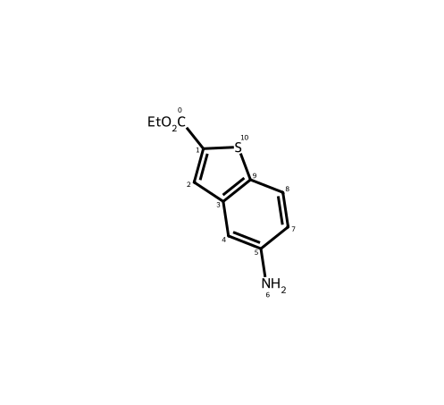 CCOC(=O)c1cc2cc(N)ccc2s1